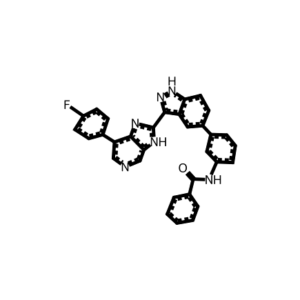 O=C(Nc1cccc(-c2ccc3[nH]nc(-c4nc5c(-c6ccc(F)cc6)cncc5[nH]4)c3c2)c1)c1ccccc1